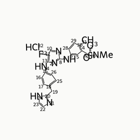 CNS(=O)(=O)c1cc(Nc2ncc(F)c(Nc3ccc(Cc4ncc[nH]4)cc3)n2)ccc1C.Cl